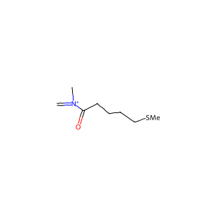 C=[N+](C)C(=O)CCCCSC